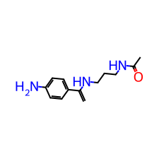 C=C(NCCCNC(C)=O)c1ccc(N)cc1